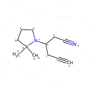 C#CCC(CC#N)N1CCC[Si]1(C)C